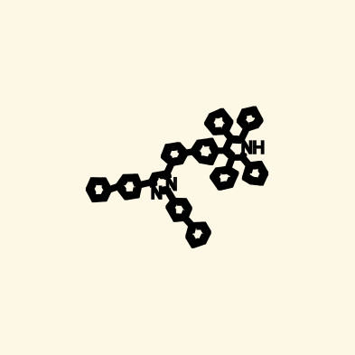 c1ccc(C2=C(c3ccccc3)C(c3ccc(-c4cccc(-c5cc(-c6ccc(-c7ccccc7)cc6)nc(-c6ccc(-c7ccccc7)cc6)n5)c4)cc3)=C(c3ccccc3)C(c3ccccc3)N2)cc1